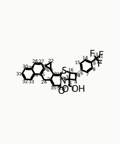 O=C(O)C12C[C@@H](c3ccc(C(F)(F)F)cc3)C1Sc1c(C3CC3)c(Cc3cccc4ccccc34)cc(=O)n12